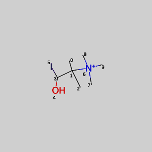 CC(C)(C(O)I)[N+](C)(C)C